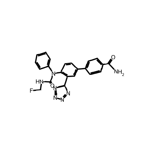 NC(=O)c1ccc(-c2ccc(N(C(=O)NCF)c3ccccc3)c(C3N=NN=N3)c2)cc1